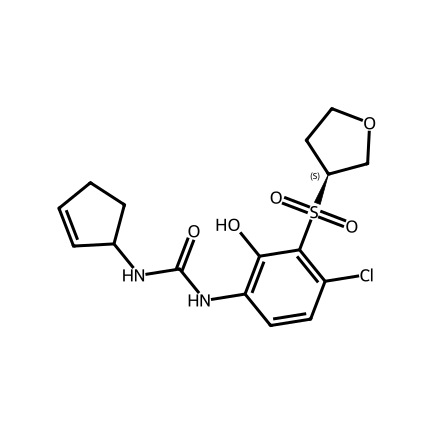 O=C(Nc1ccc(Cl)c(S(=O)(=O)[C@H]2CCOC2)c1O)NC1C=CCC1